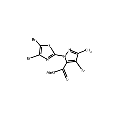 COC(=O)c1c(Br)c(C)nn1-c1nc(Br)c(Br)s1